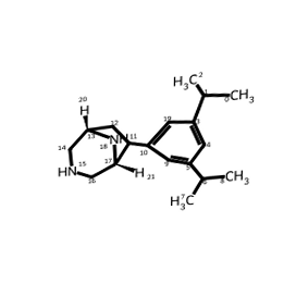 CC(C)c1[c]c(C(C)C)cc(C2C[C@H]3CNC[C@@H]2N3)c1